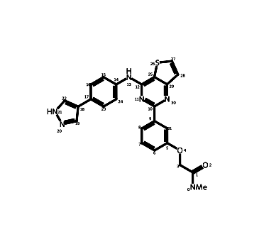 CNC(=O)COc1cccc(-c2nc(Nc3ccc(-c4cn[nH]c4)cc3)c3sccc3n2)c1